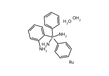 Nc1ccccc1P(N)(N)(c1ccccc1)c1ccccc1.O.O.[Ru]